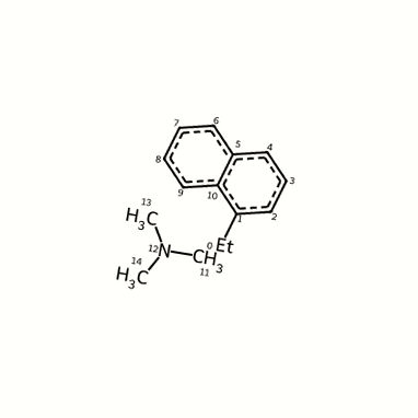 CCc1cccc2ccccc12.CN(C)C